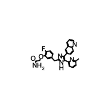 Cc1cccc(-c2[nH]c(Cc3ccc(F)c(OCC(N)=O)c3)nc2-c2ccc3ncccc3c2)n1